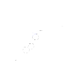 C=CCOc1ccc2cc(-c3ccc(C=CCCCC(C)OCCCCC)nc3)ccc2c1